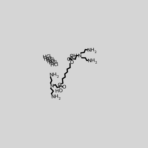 Cl.Cl.Cl.Cl.Cl.Cl.NCCCN(CCCN)CCP(=O)(O)OCCCCCCCCOP(=O)(O)CCN(CCCN)CCCN